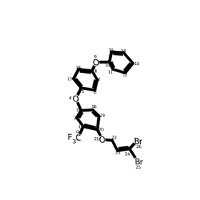 FC(F)(F)c1cc(Oc2ccc(Oc3ccccc3)cc2)ccc1OCC=C(Br)Br